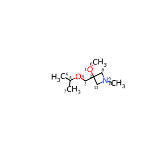 COC1(COC(C)C)CN(C)C1